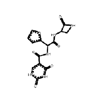 O=C(NC(C(=O)NC1CNC1=O)c1cccs1)c1c[nH]c(=O)[nH]c1=O